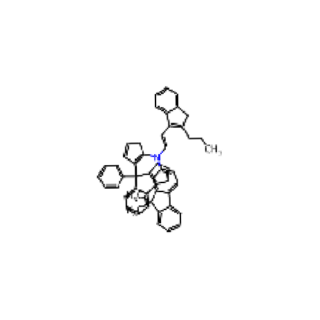 CCCC1=C(/C=C/N(C2=C(C3(c4ccccc4)C4=C(C=CC4)c4ccccc43)C=CC2)c2ccc3c(c2)C(C)(C)c2ccccc2-3)c2ccccc2C1